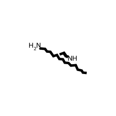 CC=C=N.CCCCCCCCCCCCCCCCN